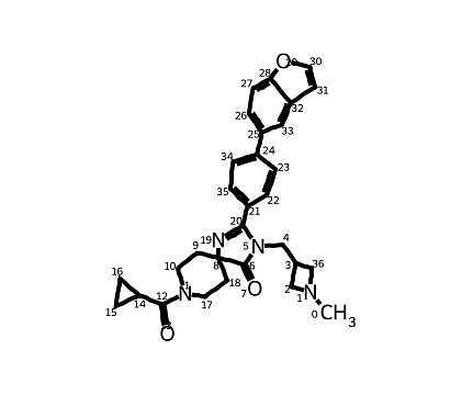 CN1CC(CN2C(=O)C3(CCN(C(=O)C4CC4)CC3)N=C2c2ccc(-c3ccc4occc4c3)cc2)C1